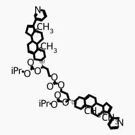 CC(C)OC(=O)OC(CCOC(=O)OCCC(OC(=O)OC(C)C)[C@H]1CC[C@@]2(C)C(=CCC3C2CC[C@]2(C)C(c4cccnc4)=CCC32)C1)[C@H]1CC[C@@]2(C)C(=CCC3C2CC[C@]2(C)C(c4cccnc4)=CCC32)C1